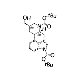 CC(C)(C)OC(=O)N1C[C@H](CO)CC2c3cccc4c3c(cn4C(=O)OC(C)(C)C)C[C@H]21